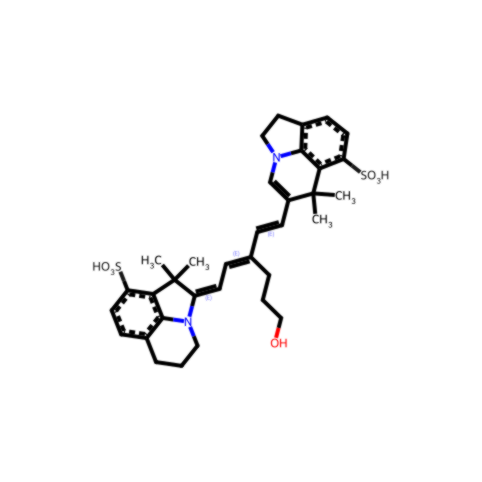 CC1(C)C(/C=C/C(=C/C=C2/N3CCCc4ccc(S(=O)(=O)O)c(c43)C2(C)C)CCCO)=CN2CCc3ccc(S(=O)(=O)O)c1c32